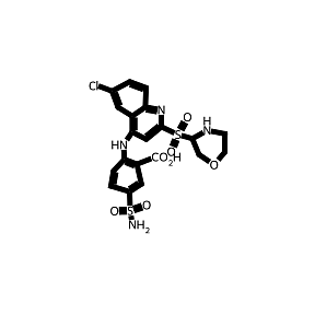 NS(=O)(=O)c1ccc(Nc2cc(S(=O)(=O)C3COCCN3)nc3ccc(Cl)cc23)c(C(=O)O)c1